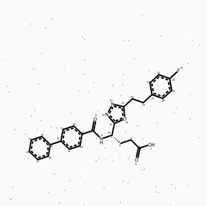 O=C(O)CC[C@H](NC(=O)c1ccc(-c2ccccc2)cc1)c1nnc(CCc2ccc(F)cc2)o1